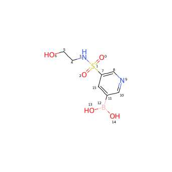 O=S(=O)(NCCO)c1cncc(B(O)O)c1